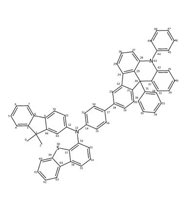 CC1(C)c2ccccc2-c2ccc(N(c3ccc(-c4ccc5c(c4)-c4cccc6c4C5(c4ccccc4)c4ccccc4N6c4ccccc4)cc3)c3cccc4c3sc3ccccc34)cc21